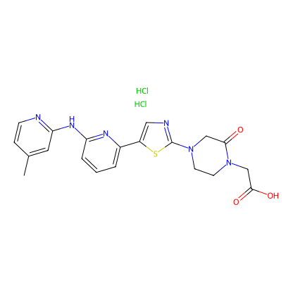 Cc1ccnc(Nc2cccc(-c3cnc(N4CCN(CC(=O)O)C(=O)C4)s3)n2)c1.Cl.Cl